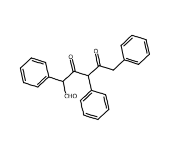 O=CC(C(=O)C(C(=O)Cc1ccccc1)c1ccccc1)c1ccccc1